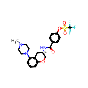 CN1CCN(c2cccc3c2C[C@H](NC(=O)c2ccc(OS(=O)(=O)C(F)(F)F)cc2)CO3)CC1